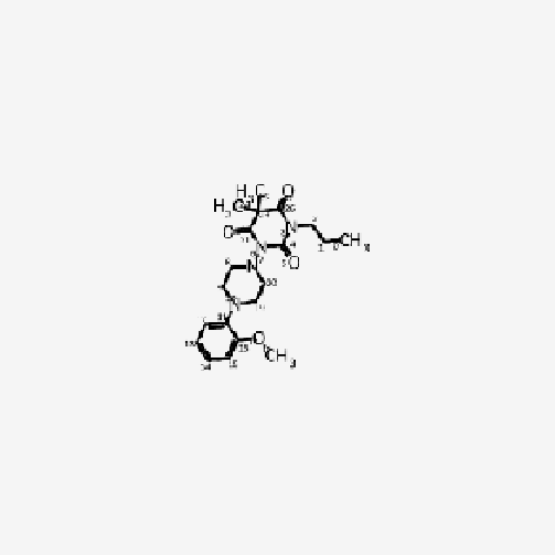 CCCN1C(=O)N(N2CCN(c3ccccc3OC)CC2)C(=O)C(C)(C)C1=O